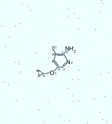 Nc1ncc(OC2CC2)cc1I